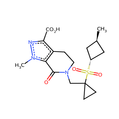 Cn1nc(C(=O)O)c2c1C(=O)N(CC1(S(=O)(=O)[C@H]3C[C@H](C)C3)CC1)CC2